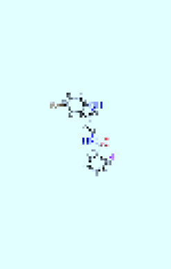 O=C(NCCc1c[nH]c2ccc(Br)cc12)c1ccccc1I